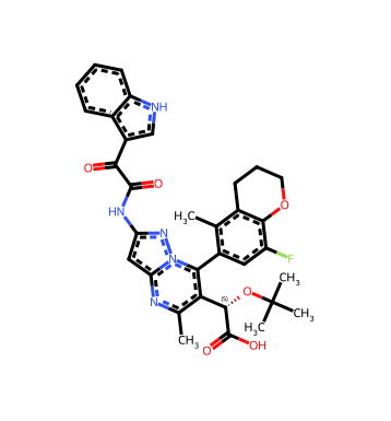 Cc1nc2cc(NC(=O)C(=O)c3c[nH]c4ccccc34)nn2c(-c2cc(F)c3c(c2C)CCCO3)c1[C@H](OC(C)(C)C)C(=O)O